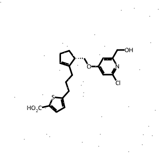 O=C(O)c1ccc(CCCC2=CCC[C@@H]2COc2cc(Cl)nc(CO)c2)s1